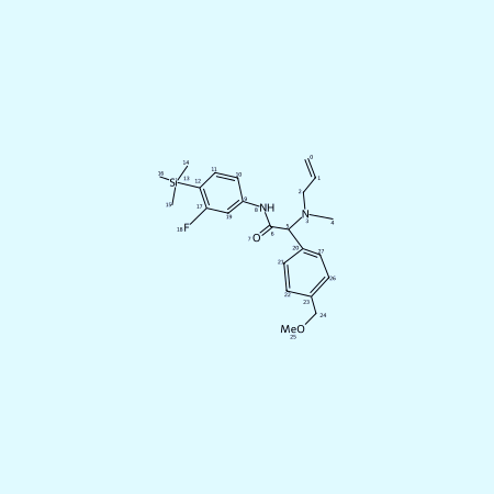 C=CCN(C)C(C(=O)Nc1ccc([Si](C)(C)C)c(F)c1)c1ccc(COC)cc1